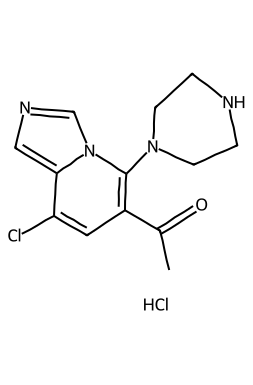 CC(=O)c1cc(Cl)c2cncn2c1N1CCNCC1.Cl